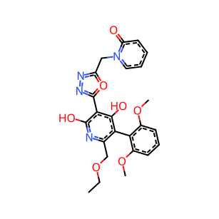 CCOCc1nc(O)c(-c2nnc(Cn3ccccc3=O)o2)c(O)c1-c1c(OC)cccc1OC